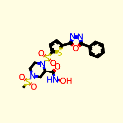 CS(=O)(=O)N1CCN(S(=O)(=O)c2ccc(-c3nnc(-c4ccccc4)o3)s2)[C@@H](C(=O)NO)C1